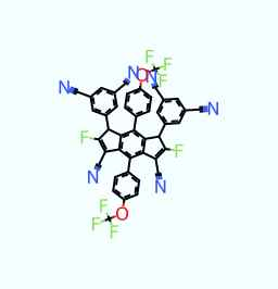 N#CC1=C(F)C(c2cc(C#N)cc(C#N)c2)c2c1c(-c1ccc(OC(F)(F)F)cc1)c1c(c2-c2ccc(OC(F)(F)F)cc2)C(c2cc(C#N)cc(C#N)c2)C(F)=C1C#N